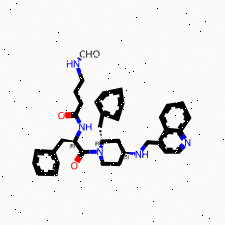 O=CNCCCC(=O)N[C@H](Cc1ccccc1)C(=O)N1CC[C@H](NCc2ccnc3ccccc23)C[C@H]1Cc1ccccc1